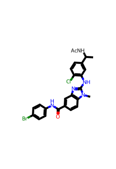 CC(=O)NC(C)c1ccc(Cl)c(Nc2nc3cc(C(=O)Nc4ccc(Br)cc4)ccc3n2C)c1